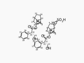 CN1C2CCC1CC(OC(=O)[C@H](CO)c1ccccc1)C2.CN1C2CCC1CC(OC(=O)[C@H](CO)c1ccccc1)C2.O=S(=O)(O)O